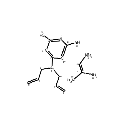 C=CCN(CC=C)c1nc(S)nc(S)n1.NC=C(N)N